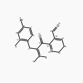 CC(C)=C(Cc1ccc(Br)cc1C)C(=O)C1=NCCC=C1C=O